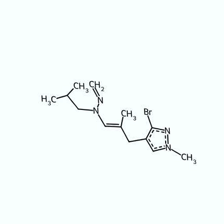 C=NN(/C=C(\C)Cc1cn(C)nc1Br)CC(C)C